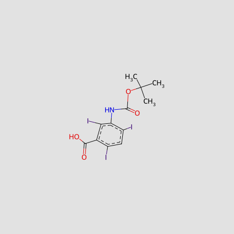 CC(C)(C)OC(=O)Nc1c(I)cc(I)c(C(=O)O)c1I